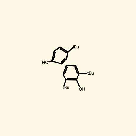 CC(C)(C)c1cccc(C(C)(C)C)c1O.CCC(C)c1ccc(O)cc1